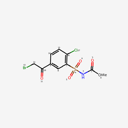 COC(=O)NS(=O)(=O)c1cc(C(=O)CBr)ccc1Cl